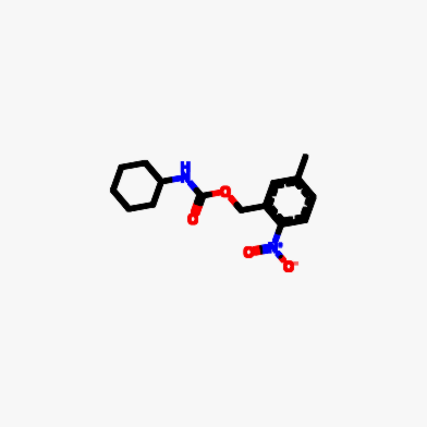 Cc1ccc([N+](=O)[O-])c(COC(=O)NC2CCCCC2)c1